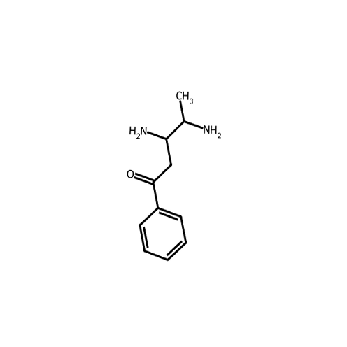 CC(N)C(N)CC(=O)c1ccccc1